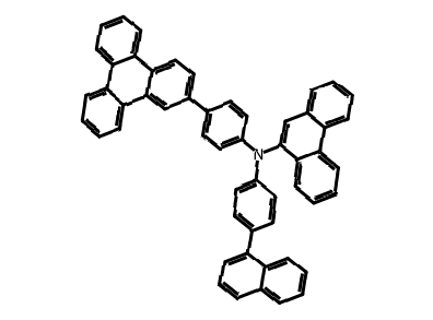 c1ccc2c(-c3ccc(N(c4ccc(-c5ccc6c7ccccc7c7ccccc7c6c5)cc4)c4cc5ccccc5c5ccccc45)cc3)cccc2c1